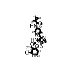 C[C@@H](OC(=O)Nc1c(-c2ccc(NC(=O)C3(C)CC3)cn2)nnn1C)c1cccnc1Cl